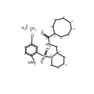 COc1ccc(Cl)cc1S(=O)(=O)N1CCCCC1CNC(=O)[C]1CCCCCCC1.[CH2].[CH2]